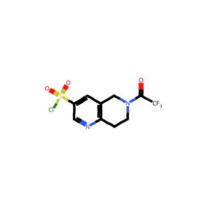 O=C(N1CCc2ncc(S(=O)(=O)Cl)cc2C1)C(F)(F)F